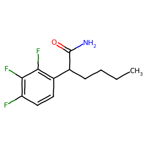 CCCCC(C(N)=O)c1ccc(F)c(F)c1F